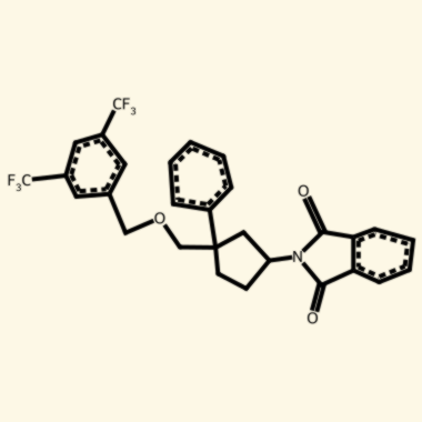 O=C1c2ccccc2C(=O)N1C1CCC(COCc2cc(C(F)(F)F)cc(C(F)(F)F)c2)(c2ccccc2)C1